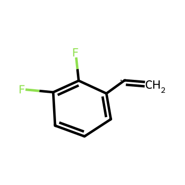 C=[C]c1cccc(F)c1F